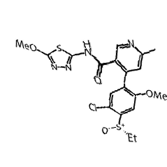 CC[S@+]([O-])c1cc(OC)c(-c2cc(C)ncc2C(=O)Nc2nnc(OC)s2)cc1Cl